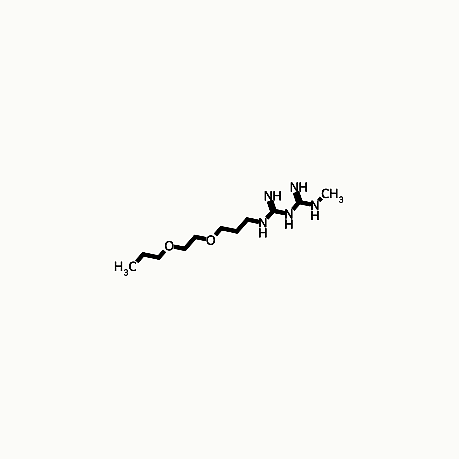 CCCOCCOCCCNC(=N)NC(=N)NC